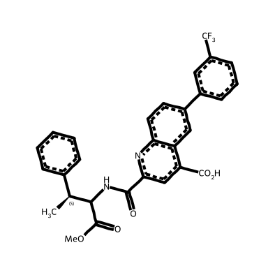 COC(=O)C(NC(=O)c1cc(C(=O)O)c2cc(-c3cccc(C(F)(F)F)c3)ccc2n1)[C@@H](C)c1ccccc1